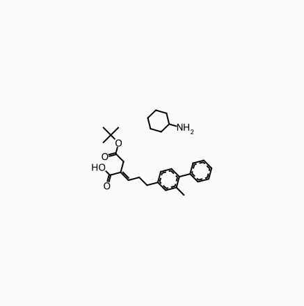 Cc1cc(CC/C=C(\CC(=O)OC(C)(C)C)C(=O)O)ccc1-c1ccccc1.NC1CCCCC1